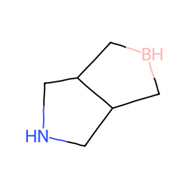 B1CC2CNCC2C1